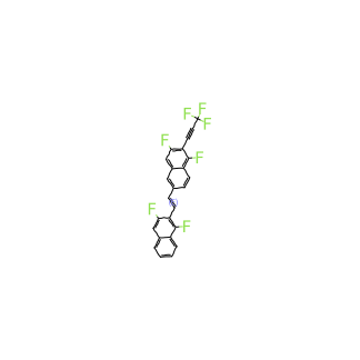 Fc1cc2cc(/C=C/c3c(F)cc4ccccc4c3F)ccc2c(F)c1C#CC(F)(F)F